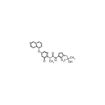 CC(C(=O)Nc1ccn(CC(C)(C)O)n1)n1ncc(Oc2cccc3cnccc23)cc1=O